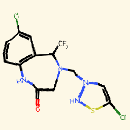 O=C1CN(CN2C=C(Cl)SN2)C(C(F)(F)F)c2cc(Cl)ccc2N1